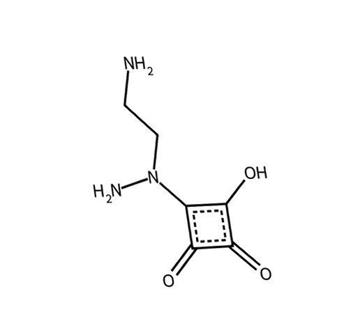 NCCN(N)c1c(O)c(=O)c1=O